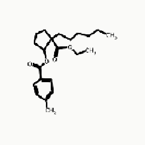 CCCCCCC1(C(=O)OCC)CCCC1OC(=O)c1ccc(C)cc1